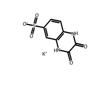 O=c1[nH]c2ccc(S(=O)(=O)[O-])cc2[nH]c1=O.[K+]